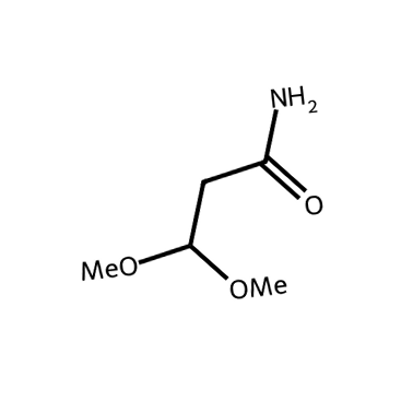 COC(CC(N)=O)OC